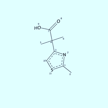 Cc1nc(C(C)(C)C(=O)O)cs1